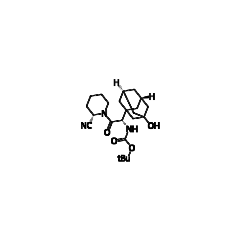 CC(C)(C)OC(=O)N[C@H](C(=O)N1CCCC[C@H]1C#N)C12C[C@@H]3C[C@@H](CC(O)(C3)C1)C2